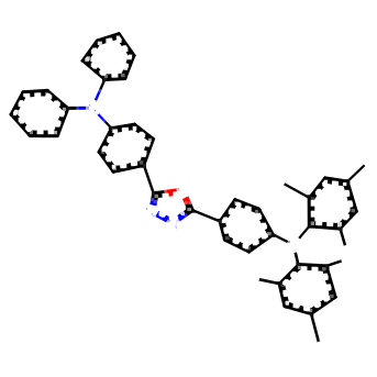 Cc1cc(C)c(B(c2ccc(-c3nnc(-c4ccc(N(c5ccccc5)c5ccccc5)cc4)o3)cc2)c2c(C)cc(C)cc2C)c(C)c1